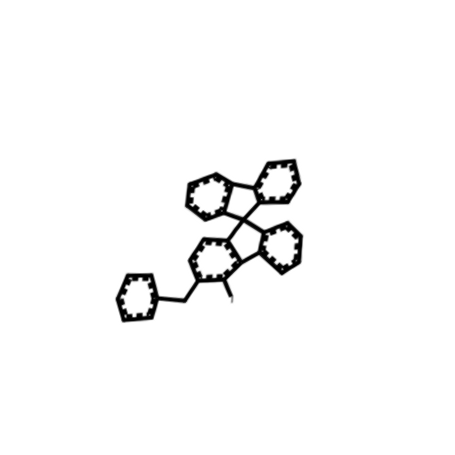 Ic1c(Cc2ccccc2)ccc2c1-c1ccccc1C21c2ccccc2-c2ccccc21